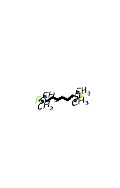 C[Si](C)(F)CCCCCC[Si](C)(C)F